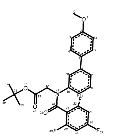 COc1ccc(-c2cccc(N(CC(=O)OC(C)(C)C)C(=O)c3c(F)cc(F)cc3F)c2)cc1